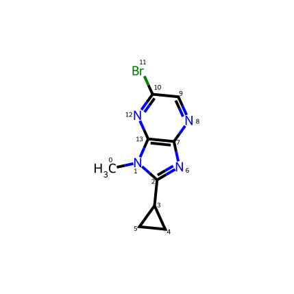 Cn1c(C2CC2)nc2ncc(Br)nc21